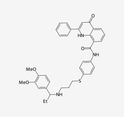 CCC(NCCCSc1ccc(NC(=O)c2cccc3c(=O)cc(-c4ccccc4)[nH]c23)cc1)c1ccc(OC)c(OC)c1